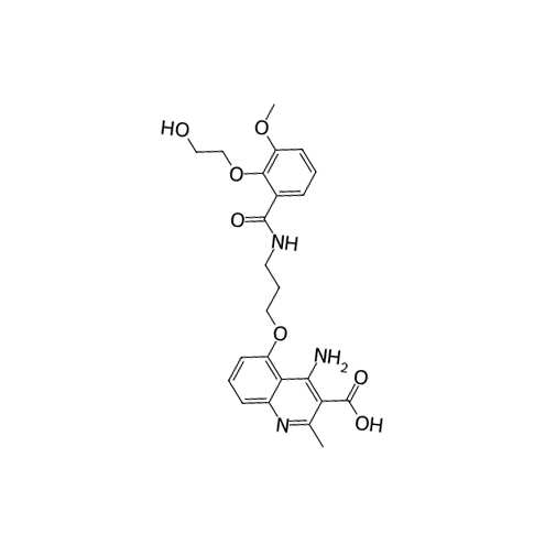 COc1cccc(C(=O)NCCCOc2cccc3nc(C)c(C(=O)O)c(N)c23)c1OCCO